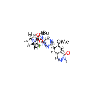 COc1cc2c(=O)n(C)ncc2cc1-c1ncc(N(C)[C@H]2C[C@@H]3CC[C@H]([C@H]2F)N3C(=O)OC(C)(C)C)nn1